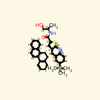 C1=CC2=C(CC1)CCc1c2ccc2ccccc12.CC(CO)NC(=O)c1cc2cc3cc([Si](C)(C)C)ccc3nc2s1